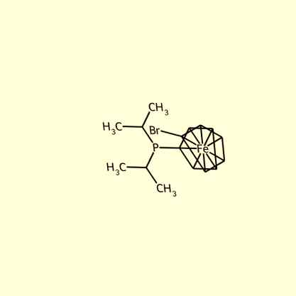 CC(C)P(C(C)C)[C]12[CH]3[CH]4[CH]5[CH]1[Fe]45321678[CH]2[CH]1[CH]6[C]7(Br)[CH]28